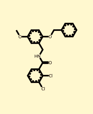 COc1ccc(OCc2ccccc2)c(CNC(=O)c2cccc(Cl)c2Cl)c1